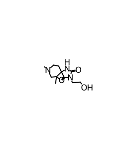 CN1CCC2(NC(=O)N(CCO)C2=O)C(C)(C)C1